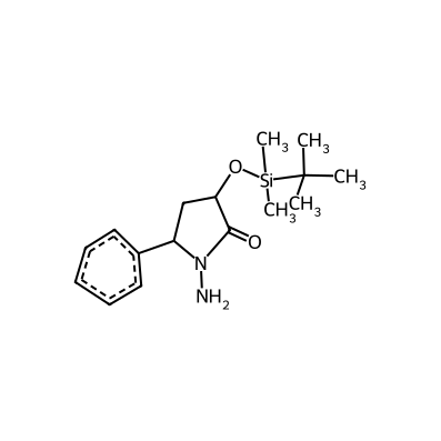 CC(C)(C)[Si](C)(C)OC1CC(c2ccccc2)N(N)C1=O